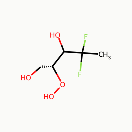 CC(F)(F)C(O)[C@@H](CO)OO